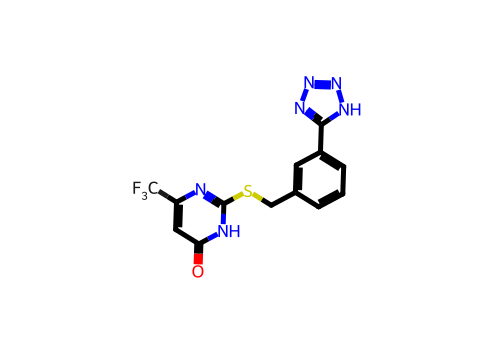 O=c1cc(C(F)(F)F)nc(SCc2cccc(-c3nnn[nH]3)c2)[nH]1